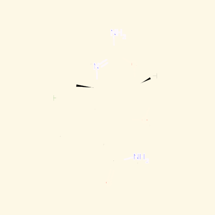 C[C@@]1(c2cc(C(N)=O)ccc2F)N=C(N)O[C@@H]2COC[C@H]21